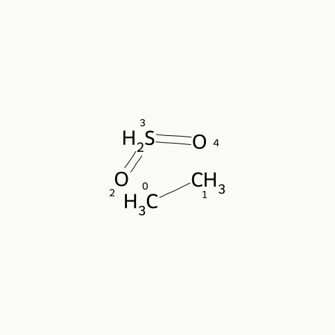 CC.O=[SH2]=O